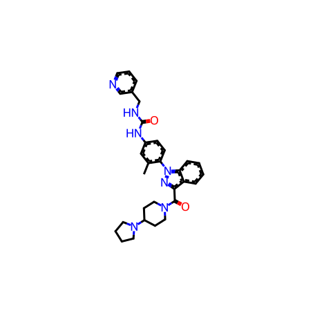 Cc1cc(NC(=O)NCc2cccnc2)ccc1-n1nc(C(=O)N2CCC(N3CCCC3)CC2)c2ccccc21